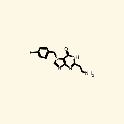 NCCc1nc2ncn(Cc3ccc(F)cc3)c2c(=O)[nH]1